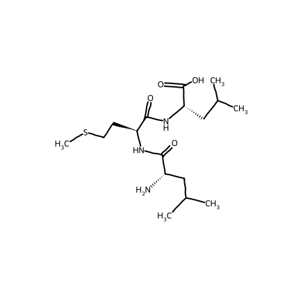 CSCC[C@H](NC(=O)[C@@H](N)CC(C)C)C(=O)N[C@@H](CC(C)C)C(=O)O